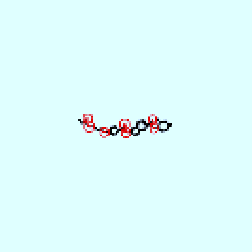 C=CC(=O)OCCCOc1ccc(C(=O)Oc2ccc3cc(C(=O)OC4CCC(C)CC4C)ccc3c2)cc1